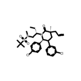 C=CC[C@@]1(C)CC(c2cccc(Cl)c2)[C@@H](c2ccc(Cl)cc2)N([C@@H](CC)CN(C)S(=O)(=O)C(C)(C)C)C1=O